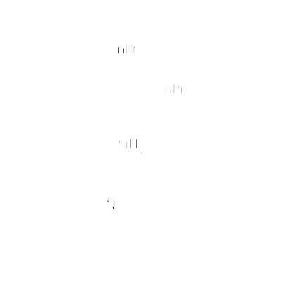 CCCC(=C[SiH2]CN1CC1)CCC